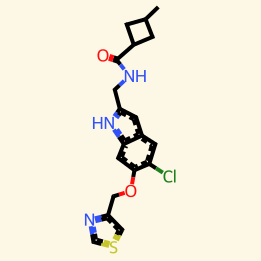 CC1CC(C(=O)NCc2cc3cc(Cl)c(OCc4cscn4)cc3[nH]2)C1